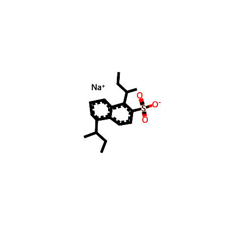 CCC(C)c1cccc2c(C(C)CC)c(S(=O)(=O)[O-])ccc12.[Na+]